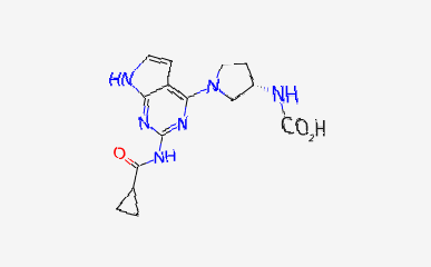 O=C(O)N[C@H]1CCN(c2nc(NC(=O)C3CC3)nc3[nH]ccc23)C1